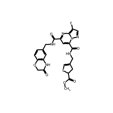 COC(=O)C1CC(CNC(=O)c2cc(C(=O)NCc3ccc4c(c3)NC(=O)CO4)nc3c(F)cnn23)=CS1